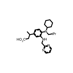 CC(C)CN(c1ccc(C(C)CC(=O)O)cc1NCc1ncccn1)C1CCCCC1